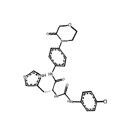 O=C(Nc1ccc(Cl)cc1)N[C@H](Cc1cnc[nH]1)C(=O)Nc1ccc(N2CCOCC2=O)cc1